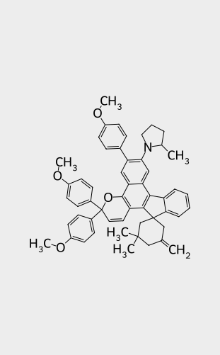 C=C1CC(C)(C)CC2(C1)c1ccccc1-c1c2c2c(c3cc(-c4ccc(OC)cc4)c(N4CCCC4C)cc13)OC(c1ccc(OC)cc1)(c1ccc(OC)cc1)C=C2